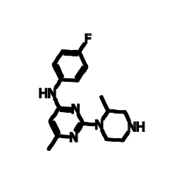 Cc1cc(Nc2ccc(F)cc2)nc(N2CCNCC2C)n1